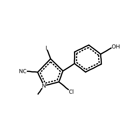 Cn1c(Cl)c(-c2ccc(O)cc2)c(I)c1C#N